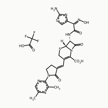 Cc1cnc(N2CC/C(=C\C3=C(C(=O)O)N4C(=O)[C@@H](NC(=O)/C(=N\O)c5csc(N)n5)[C@H]4SC3)C2=O)c(C)n1.O=C(O)C(F)(F)F